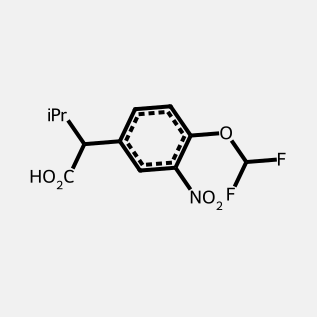 CC(C)C(C(=O)O)c1ccc(OC(F)F)c([N+](=O)[O-])c1